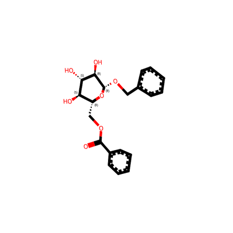 O=C(OC[C@H]1O[C@@H](OCc2ccccc2)[C@H](O)[C@@H](O)[C@@H]1O)c1ccccc1